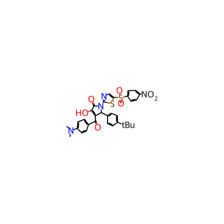 CN(C)c1ccc(C(=O)C2=C(O)C(=O)N(c3ncc(S(=O)(=O)c4ccc([N+](=O)[O-])cc4)s3)C2c2ccc(C(C)(C)C)cc2)cc1